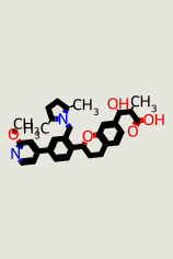 COc1cc(-c2ccc(C3CCc4ccc([C@H](O)[C@H](C)C(=O)O)cc4O3)c(CN3[C@H](C)CC[C@@H]3C)c2)ccn1